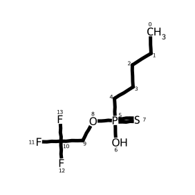 CCCCCP(O)(=S)OCC(F)(F)F